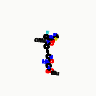 COc1ccc(F)cc1C(C(=O)Nc1nccs1)N1Cc2ccc(C#Cc3ccc(C(=O)NC4CCN(C(=O)OC(C)(C)C)CC4)nc3)cc2C1=O